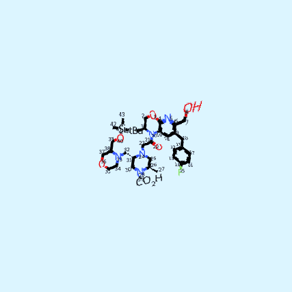 CC1COc2nc(CO)c(Cc3ccc(F)cc3)cc2N1C(=O)CN1C[C@@H](C)N(C(=O)O)C[C@@H]1CN1CCOCC1CO[Si](C)(C)C(C)(C)C